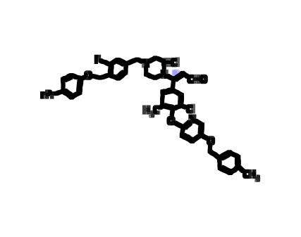 CCCc1ccc(OCc2ccc(CN3CCN(/C(=C/C=O)c4cc(C)c(Oc5ccc(OCc6ccc(C)cc6)cn5)c(Cl)c4)CC3)cc2F)cc1.Cl